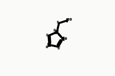 FCn1[c]n[c]n1